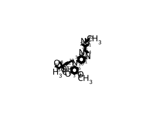 COc1cc(OC)cc(N(CC#CC2(O)CCOC2)c2ccc3ncc(-c4cnn(C)c4)nc3c2)c1